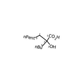 CCCCCCC(O)(CCCC)C(=O)O